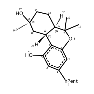 CCCCCc1cc(O)c2c(c1)OC(C)(C)[C@@H]1CC[C@](C)(O)C[C@@H]21